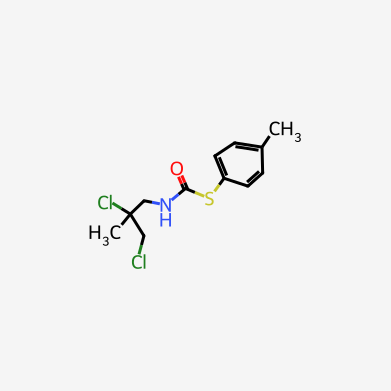 Cc1ccc(SC(=O)NCC(C)(Cl)CCl)cc1